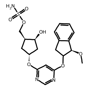 CO[C@@H]1c2ccccc2CC1Oc1cc(O[C@@H]2C[C@@H](COS(N)(=O)=O)[C@@H](O)C2)ncn1